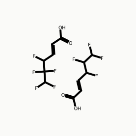 O=C(O)C=CC(F)C(F)(F)C(F)F.O=C(O)C=CC(F)C(F)C(F)F